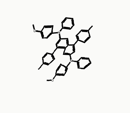 COc1ccc(N(c2ccccc2)c2cc(-c3ccc(C)cc3)c3cc(N(c4ccccc4)c4ccc(OC)cc4)cc(-c4ccc(C)cc4)c3c2)cc1